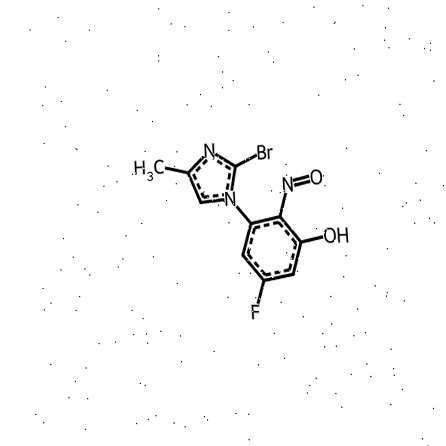 Cc1cn(-c2cc(F)cc(O)c2N=O)c(Br)n1